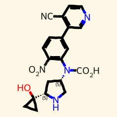 N#Cc1ccncc1-c1ccc([N+](=O)[O-])c(N(C(=O)O)[C@@H]2CN[C@H](C3(O)CC3)C2)c1